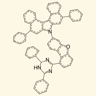 c1ccc(C2=NC(c3cccc4oc5cc(-n6c7cc(-c8ccccc8)c8ccccc8c7c7c8ccccc8c(-c8ccccc8)cc76)ccc5c34)=NC(c3ccccc3)N2)cc1